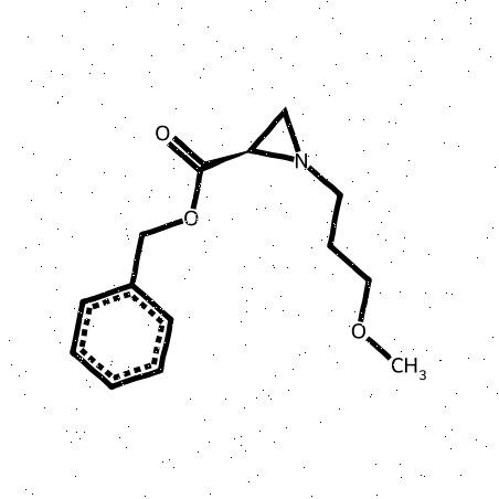 COCCCN1C[C@@H]1C(=O)OCc1ccccc1